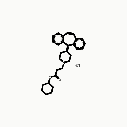 Cl.O=C(CCN1CCC(=C2c3ccccc3C=Cc3ccccc32)CC1)OC1CCCCC1